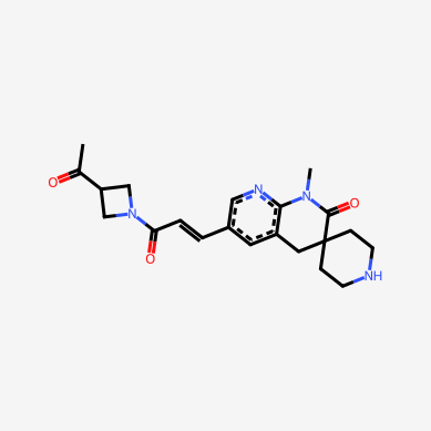 CC(=O)C1CN(C(=O)C=Cc2cnc3c(c2)CC2(CCNCC2)C(=O)N3C)C1